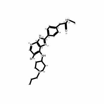 CCCN1CCC(Nc2c(Br)cnc3[nH]c(-c4ccc(CC(=O)NC)cc4)nc23)CC1